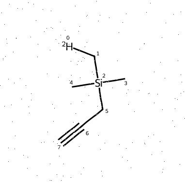 [2H]C[Si](C)(C)CC#C